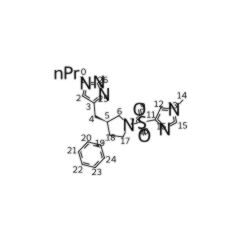 CCCn1cc(C[C@H]2CN(S(=O)(=O)c3cn(C)cn3)C[C@@H]2c2ccccc2)nn1